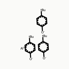 CC(C)(C)c1ccc([O-])cc1.CC(C)(C)c1ccc([O-])cc1.CC(C)(C)c1ccc([O-])cc1.[Al+3]